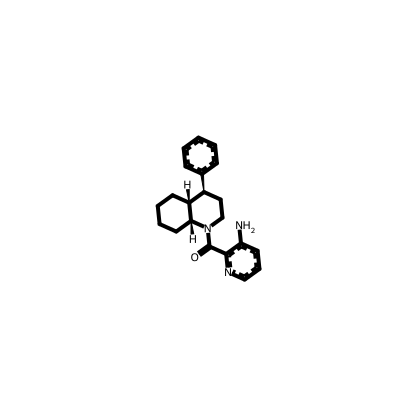 Nc1cccnc1C(=O)N1CC[C@H](c2ccccc2)[C@H]2CCCC[C@H]21